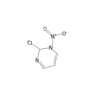 O=[N+]([O-])N1C=CC=NC1Cl